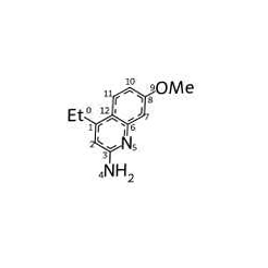 CCc1cc(N)nc2cc(OC)ccc12